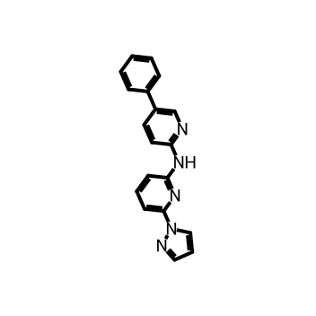 c1ccc(-c2ccc(Nc3cccc(-n4cccn4)n3)nc2)cc1